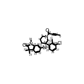 CC#CC(=O)N1CCC[C@](Nc2ccc3c(c2)N(C)C(=O)C3(C)C)(c2cccc(Cl)c2C)C1